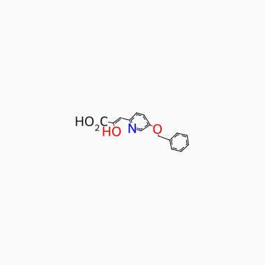 O=C(O)/C(O)=C/c1ccc(OCc2ccccc2)cn1